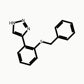 [c]1cccc(-c2c[nH]nn2)c1SCc1ccccc1